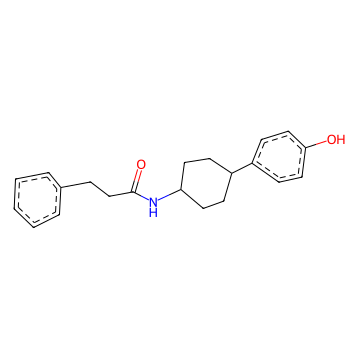 O=C(CCc1ccccc1)NC1CCC(c2ccc(O)cc2)CC1